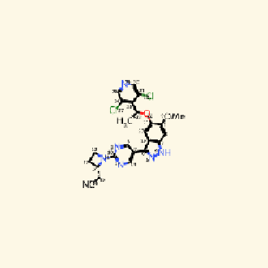 COc1cc2[nH]nc(-c3cnc(N4CC[C@H]4CC#N)nc3)c2cc1OC(C)c1c(Cl)cncc1Cl